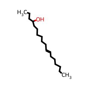 CCCCCCC=CCCCCCCC(O)CCC